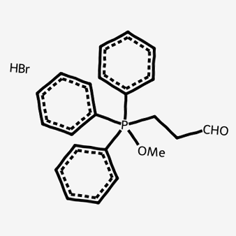 Br.COP(CCC=O)(c1ccccc1)(c1ccccc1)c1ccccc1